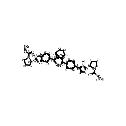 CC(C)(C)OC(=O)N1CCC[C@H]1c1ncc(-c2ccc(-c3nnc(-c4ccc5[nH]c([C@@H]6CCCN6C(=O)OC(C)(C)C)nc5c4)c4c3C3CCC4CC3)cc2)[nH]1